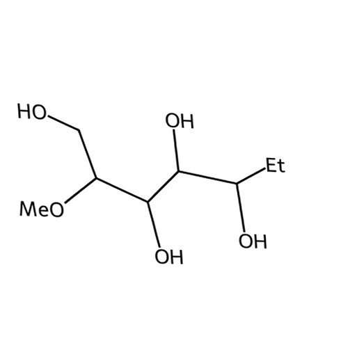 CCC(O)C(O)C(O)C(CO)OC